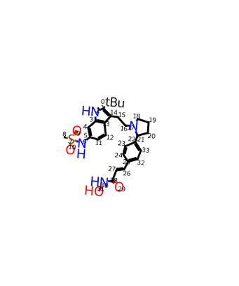 CC(C)(C)c1[nH]c2cc(NS(C)(=O)=O)ccc2c1CCN1CCCC1c1ccc(C=CC(=O)NO)cc1